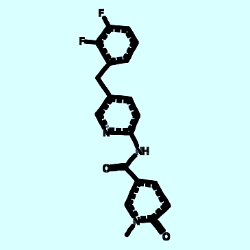 Cn1cc(C(=O)Nc2ccc(Cc3cccc(F)c3F)cn2)ccc1=O